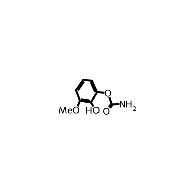 COc1cccc(OC(N)=O)c1O